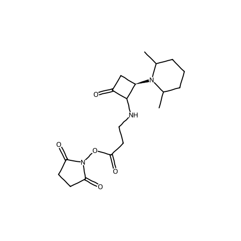 CC1CCCC(C)N1[C@@H]1CC(=O)C1NCCC(=O)ON1C(=O)CCC1=O